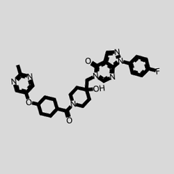 Cc1ncc(OC2CCC(C(=O)N3CCC(O)(Cn4cnc5c(cnn5-c5ccc(F)cc5)c4=O)CC3)CC2)cn1